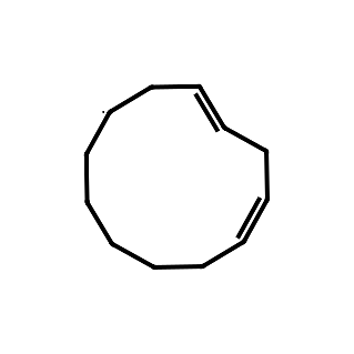 [CH]1C/C=C/C/C=C\CCCCC1